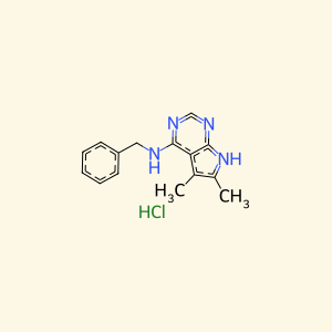 Cc1[nH]c2ncnc(NCc3ccccc3)c2c1C.Cl